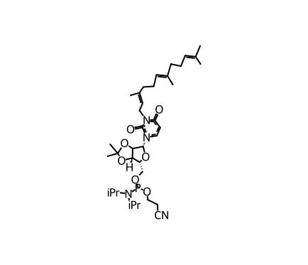 CC(C)=CCC/C(C)=C/CC/C(C)=C/Cn1c(=O)ccn([C@@H]2O[C@H](COP(OCCC#N)N(C(C)C)C(C)C)[C@@H]3OC(C)(C)OC32)c1=O